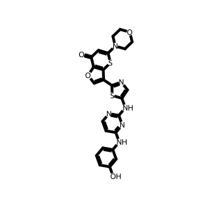 O=c1cc(N2CCOCC2)sc2c(-c3ncc(Nc4nccc(Nc5cccc(O)c5)n4)s3)coc12